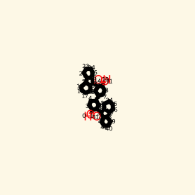 COc1ccc(-c2ccc(OC)c(C3(O)c4ccccc4-c4ccccc43)c2)cc1C1(O)c2ccccc2-c2ccccc21